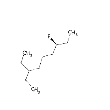 CCC(CC)CCC[C@@H](F)CC